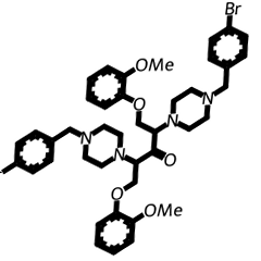 COc1ccccc1OCC(C(=O)C(COc1ccccc1OC)N1CCN(Cc2ccc(Br)cc2)CC1)N1CCN(Cc2ccc(Br)cc2)CC1